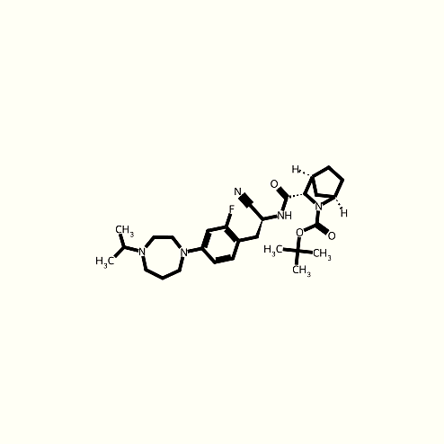 CC(C)N1CCCN(c2ccc(C[C@@H](C#N)NC(=O)[C@@H]3[C@H]4CC[C@H](C4)N3C(=O)OC(C)(C)C)c(F)c2)CC1